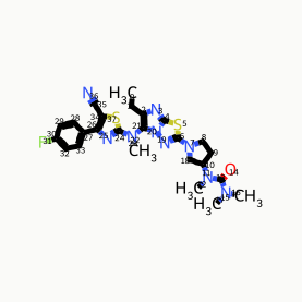 CCc1nc2sc(N3CCC(N(C)C(=O)N(C)C)C3)nn2c1N(C)c1nc(-c2ccc(F)cc2)c(C#N)s1